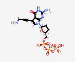 NCC#Cc1cn([C@H]2CC[C@@H](COP(=O)(O)OP(=O)(O)OP(=O)(O)O)O2)c2nc(N)[nH]c(=O)c12